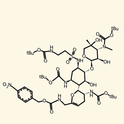 CN(C(=O)OC(C)(C)C)[C@@H]1[C@@H](O)[C@@H](O[C@H]2[C@H](NS(=O)(=O)CCNC(=O)OC(C)(C)C)C[C@H](NC(=O)OC(C)(C)C)C([C@H]3OC(CNC(=O)OCc4ccc([N+](=O)[O-])cc4)=CC[C@H]3NC(=O)OC(C)(C)C)[C@@H]2O)OC[C@]1(C)O